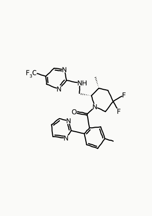 Cc1ccc(-c2ncccn2)c(C(=O)N2CC(F)(F)C[C@@H](C)[C@H]2CNc2ncc(C(F)(F)F)cn2)c1